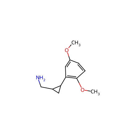 COc1ccc(OC)c(C2CC2CN)c1